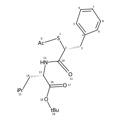 CC(=O)S[C@H](Cc1ccccc1)C(=O)N[C@@H](CC(C)C)C(=O)OC(C)(C)C